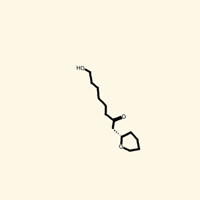 O=C(CCCCCCO)C[C@@H]1CCCCO1